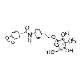 O=C(Nc1ccc(CCO[C@@H]2O[C@H](CO)[C@@H](O)[C@H](O)[C@H]2O)cc1)c1ccc2c(c1)OCO2